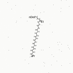 CCCCCCCCCCCCCC(CC)CC[CH]CCCCCCCCCCCCCCCCC(C)C